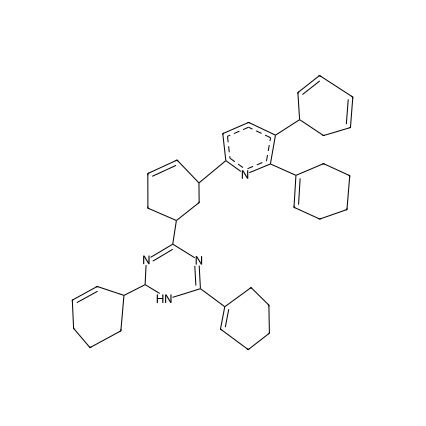 C1=CCC(c2ccc(C3C=CCC(C4=NC(C5C=CCCC5)NC(C5=CCCCC5)=N4)C3)nc2C2=CCCCC2)C=C1